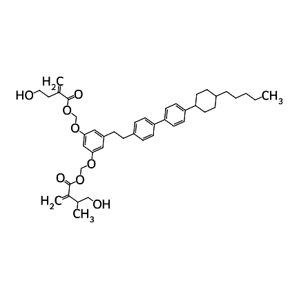 C=C(CCO)C(=O)OCOc1cc(CCc2ccc(-c3ccc(C4CCC(CCCCC)CC4)cc3)cc2)cc(OCOC(=O)C(=C)C(C)CO)c1